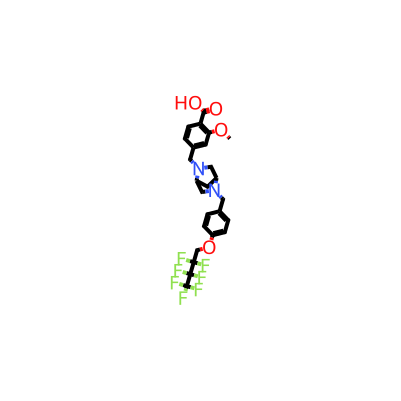 COc1cc(CN2CC3CC2CN3Cc2ccc(OCC(F)(F)C(F)(F)C(F)(F)F)cc2)ccc1C(=O)O